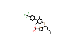 CCCCC(Sc1cc(C)c(-c2ccc(C(F)(F)F)cc2)c(C)c1)c1ccc(C(=O)O)s1